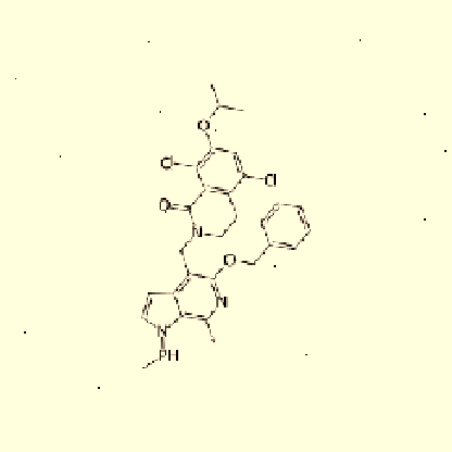 CPn1ccc2c(CN3CCc4c(Cl)cc(OC(C)C)c(Cl)c4C3=O)c(OCc3ccccc3)nc(C)c21